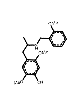 COc1cc(CC(C)NCc2ccccc2OC)c(OC)cc1C#N